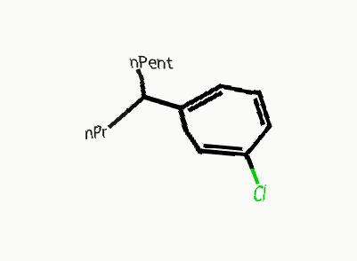 CCCCCC(CCC)c1cccc(Cl)c1